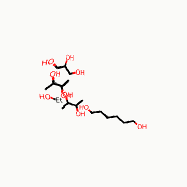 CC(O)C(C)O.CC(O)C(C)O.CCO.OCC(O)CO.OCCCCCCO